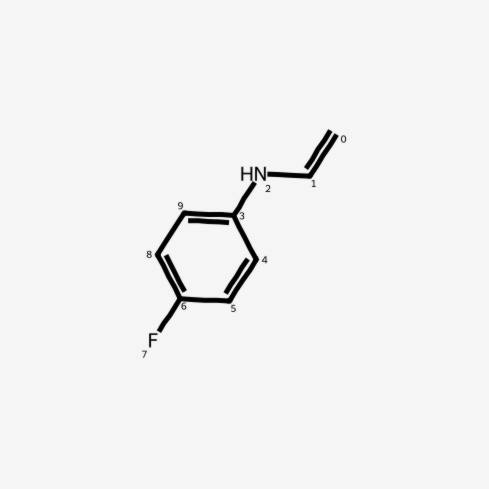 C=CNc1ccc(F)cc1